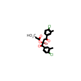 Cc1cc(C(=O)CC(Br)(OC(=O)CC(=O)O)C(=O)c2ccc(Cl)c(C)c2)ccc1Cl